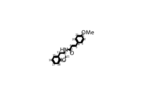 COc1ccc(/C=C/C(=O)N[C@H](CO)Cc2ccccc2)cc1